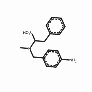 CN(Cc1ccc(N)cc1)C(Cc1ccccc1)C(=O)O